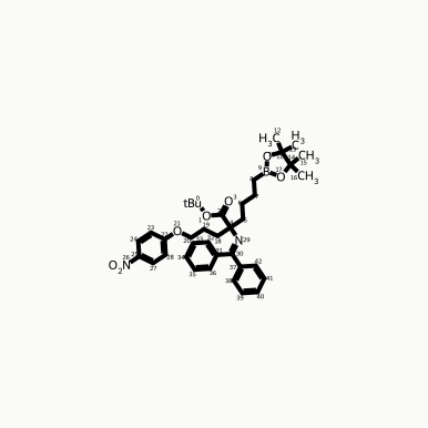 CC(C)(C)OC(=O)C(CCCCB1OC(C)(C)C(C)(C)O1)(CCCOc1ccc([N+](=O)[O-])cc1)N=C(c1ccccc1)c1ccccc1